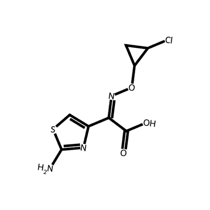 Nc1nc(C(=NOC2CC2Cl)C(=O)O)cs1